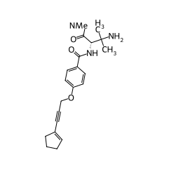 CNC(=O)[C@@H](NC(=O)c1ccc(OCC#CC2=CCCC2)cc1)C(C)(C)N